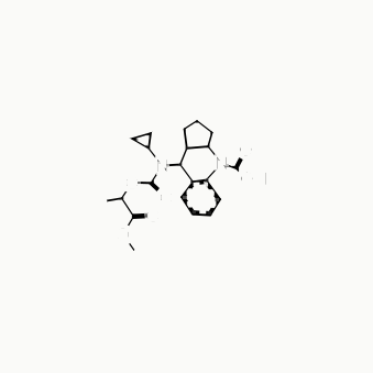 COC(=O)C(C)OC(=O)N(C1CC1)C1c2ccccc2N(C(=O)O)C2CCCC21